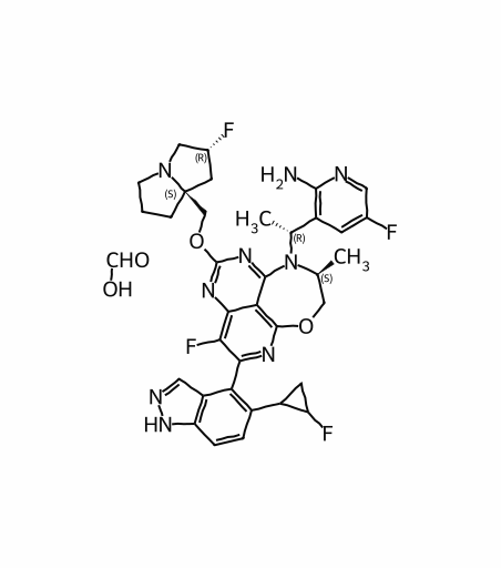 C[C@H](c1cc(F)cnc1N)N1c2nc(OC[C@@]34CCCN3C[C@H](F)C4)nc3c(F)c(-c4c(C5CC5F)ccc5[nH]ncc45)nc(c23)OC[C@@H]1C.O=CO